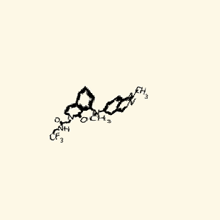 CN(c1ccc2c(cnn2C)c1)c1cccc2ccn(CC(=O)NCC(F)(F)F)c(=O)c12